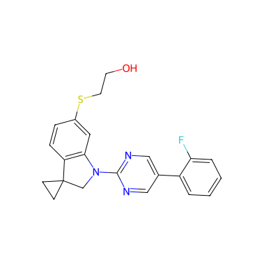 OCCSc1ccc2c(c1)N(c1ncc(-c3ccccc3F)cn1)CC21CC1